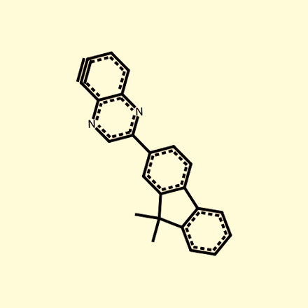 CC1(C)c2ccccc2-c2ccc(-c3cnc4c#cccc4n3)cc21